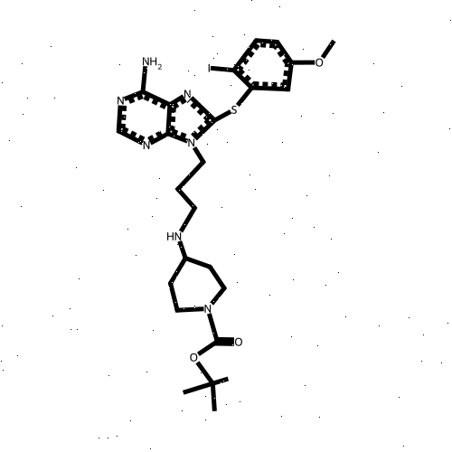 COc1ccc(I)c(Sc2nc3c(N)ncnc3n2CCCNC2CCN(C(=O)OC(C)(C)C)CC2)c1